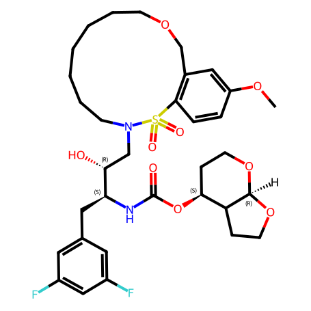 COc1ccc2c(c1)COCCCCCCCN(C[C@@H](O)[C@H](Cc1cc(F)cc(F)c1)NC(=O)O[C@H]1CCO[C@H]3OCCC31)S2(=O)=O